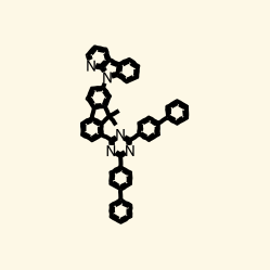 CC1(C)c2cc(-n3c4ccccc4c4cccnc43)ccc2-c2cccc(-c3nc(-c4ccc(-c5ccccc5)cc4)nc(-c4ccc(-c5ccccc5)cc4)n3)c21